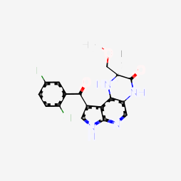 COC[C@]1(C)Nc2c(cnc3[nH]cc(C(=O)c4cc(F)ccc4Cl)c23)NC1=O